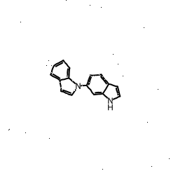 [c]1ccc2c(c1)ccn2-c1ccc2cc[nH]c2c1